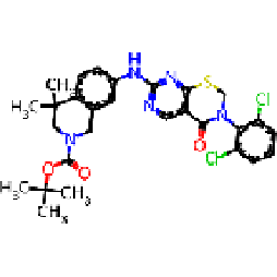 CC(C)(C)OC(=O)N1Cc2cc(Nc3ncc4c(n3)SCN(c3c(Cl)cccc3Cl)C4=O)ccc2C(C)(C)C1